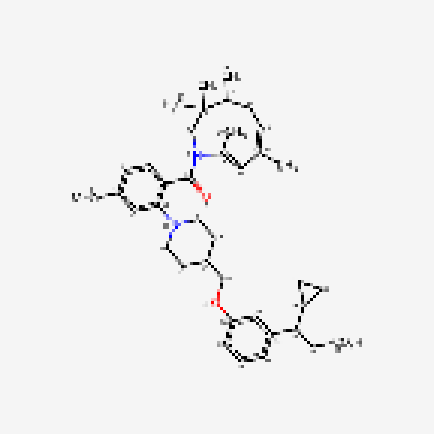 COc1ccc(C(=O)N2CC(C)(C)C(C)C/C=C(C)\C=C\2C)c(N2CCC(COc3cccc(C(CC(=O)O)C4CC4)c3)CC2)c1